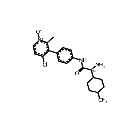 Cc1c(-c2ccc(NC(=O)[C@@H](N)C3CCC(C(F)(F)F)CC3)cc2)c(Cl)cc[n+]1[O-]